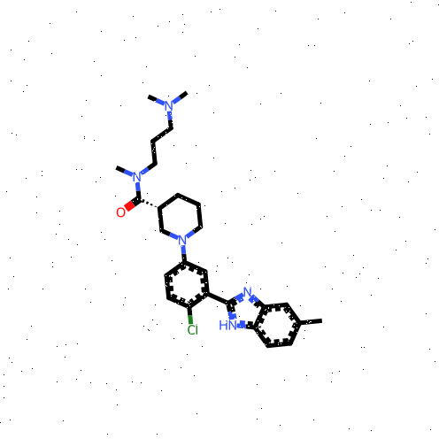 Cc1ccc2[nH]c(-c3cc(N4CCC[C@@H](C(=O)N(C)CCCN(C)C)C4)ccc3Cl)nc2c1